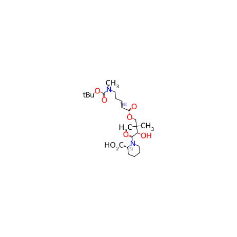 CN(CC/C=C/C(=O)OCC(C)(C)C(O)C(=O)N1CCCC[C@H]1C(=O)O)C(=O)OC(C)(C)C